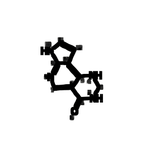 O=C1NCNc2c1cnc1[nH]ccc21